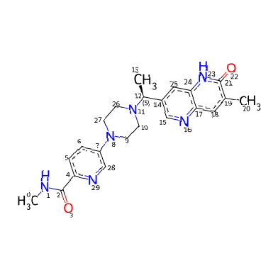 CNC(=O)c1ccc(N2CCN([C@@H](C)c3cnc4cc(C)c(=O)[nH]c4c3)CC2)cn1